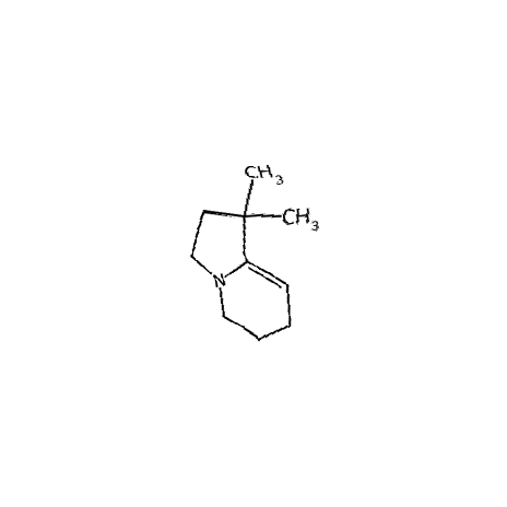 CC1(C)CCN2CCCC=C21